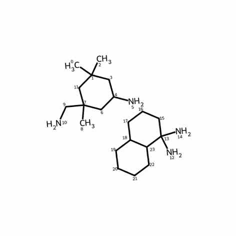 CC1(C)CC(N)CC(C)(CN)C1.NC1(N)CCCC2CCCCC21